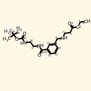 CCOC(=O)CCNCc1cccc(C(=O)NCCNC(=O)OC(C)(C)C)c1